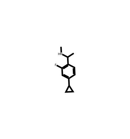 CNC(C)c1ccc(C2CC2)cc1F